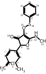 C=C(Cl)/C=C\C(=C/CC)C1OC(NC)=C(OSc2ccccc2)C1=O